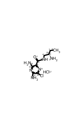 CC[C@H](N)CNC(=O)c1nc(Cl)c(N)nc1N.Cl